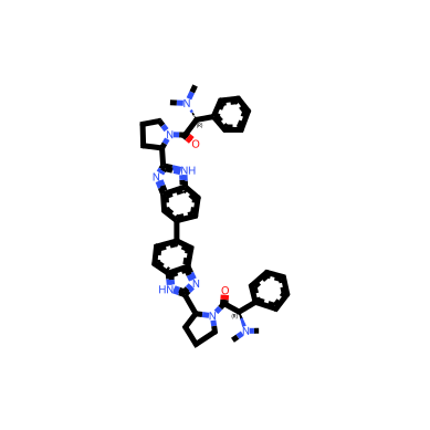 CN(C)[C@@H](C(=O)N1CCCC1c1nc2cc(-c3ccc4[nH]c(C5CCCN5C(=O)[C@@H](c5ccccc5)N(C)C)nc4c3)ccc2[nH]1)c1ccccc1